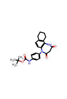 CC(C)(C)OC(=O)Nc1ccc(N2C(=O)CC(=O)Nc3c2ccc2c3CCCC2)cc1